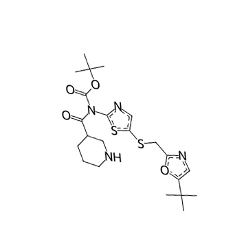 CC(C)(C)OC(=O)N(C(=O)C1CCCNC1)c1ncc(SCc2ncc(C(C)(C)C)o2)s1